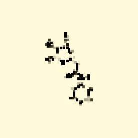 O=C(Cc1cc(Cl)c(O)c(Cl)c1)NC1CCCCC1